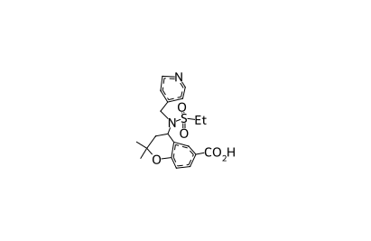 CCS(=O)(=O)N(Cc1ccncc1)C1CC(C)(C)Oc2ccc(C(=O)O)cc21